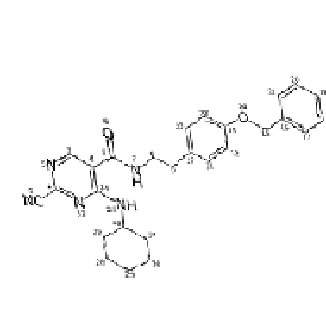 N#Cc1ncc(C(=O)NCCc2ccc(OCc3ccccc3)cc2)c(NC2CCCCC2)n1